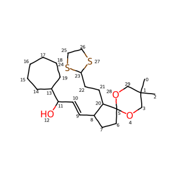 CC1(C)COC2(CCC(C=CC(O)C3CCCCCC3)C2CCC2SCCS2)OC1